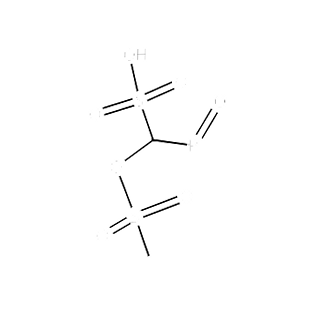 CS(=O)(=O)OC(P=O)S(=O)(=O)O